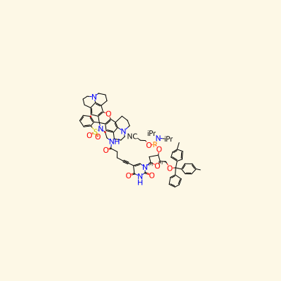 Cc1ccc(C(OC[C@H]2O[C@@H](n3cc(C#CCCC(=O)NCCN4C5(c6ccccc6S4(=O)=O)c4cc6c7c(c4Oc4c5cc5c8c4CCCN8CCC5)CCCN7CCC6)c(=O)[nH]c3=O)CC2OP(OCCC#N)N(C(C)C)C(C)C)(c2ccccc2)c2ccc(C)cc2)cc1